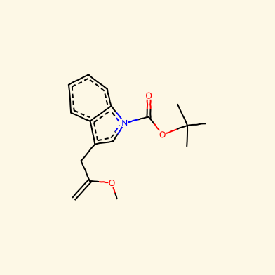 C=C(Cc1cn(C(=O)OC(C)(C)C)c2ccccc12)OC